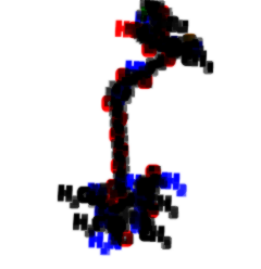 CCn1nc(C)cc1C(=O)N=c1n(C)c2cc(C(N)=O)ccc2n1CCC(CCn1c(=NC(=O)c2cc(C)nn2CC)n(C)c2cc(C(N)=O)ccc21)OCC(=O)NCCOCCOCCOCCOCCC(=O)N1CCN(C(=O)CCC(=O)NCCCCOc2cc(-c3scnc3C)ccc2CNC(=O)[C@@H]2C[C@@H](O)CN2C(=O)[C@@H](NC(=O)C2(F)CC2)C(C)(C)C)CC1